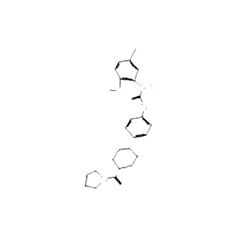 COc1ccc(C)cc1NC(=O)Nc1ccc([C@H]2CC[C@H](C(=O)N3CCCC3)CC2)cc1